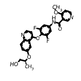 COc1ccncc1C(=O)Nc1cc(F)c(Oc2ccnc3ccc(O[C@@H](C)CO)cc23)c(F)c1